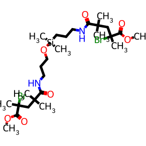 COC(=O)C(C)(Br)CC(C)(C)C(=O)NCCCO[Si](C)(C)CCCNC(=O)C(C)(C)CC(C)(Br)C(=O)OC